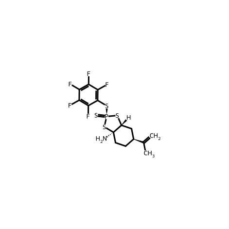 C=C(C)[C@H]1CC[C@@]2(N)S[P@@](=S)(Sc3c(F)c(F)c(F)c(F)c3F)S[C@@H]2C1